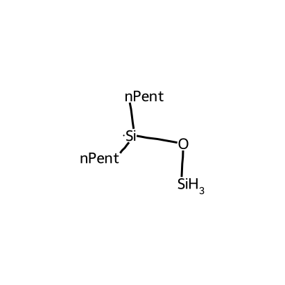 CCCCC[Si](CCCCC)O[SiH3]